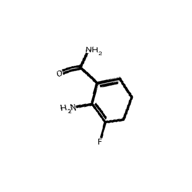 NC(=O)C1=CCCC(F)=C1N